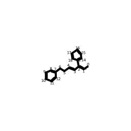 C[C]=C(C=CCCc1ccccc1)c1ccccc1